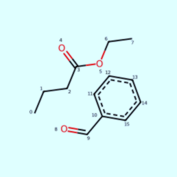 CCCC(=O)OCC.O=Cc1ccccc1